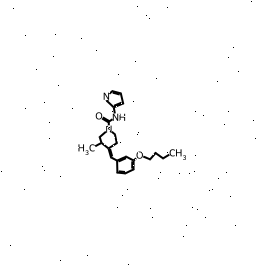 CCCCOc1cccc(/C=C2\CCN(C(=O)Nc3cccnc3)CC2C)c1